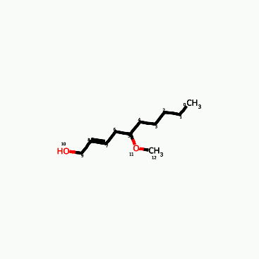 CCCCCC(C/C=C/CO)OC